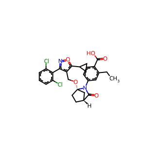 CCc1cc(N2C(=O)[C@@H]3CC[C@]2(OCc2c(-c4c(Cl)cccc4Cl)noc2C2CC2)C3)ccc1C(=O)O